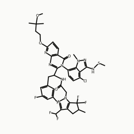 COC(C)(C)CCOc1ccc2c(=O)n(-c3ccc(Cl)c4c(NSC)nn(C)c34)c(C(Cc3cc(F)cc(F)c3)NC(=O)Cn3nc(C(F)F)c4c3C(F)(F)C(C)C4)nc2n1